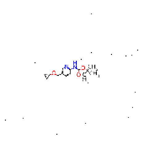 CC(C)(C)OC(=O)Nc1ccc(COC2CC2)cn1